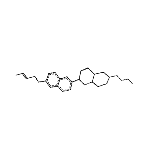 C/C=C/CCc1ccc2cc(C3CCC4CC(CCCC)CCC4C3)ccc2c1